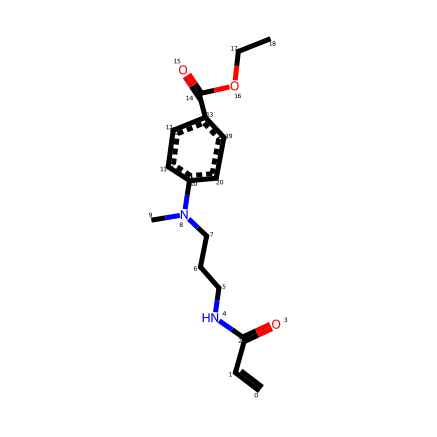 C=CC(=O)NCCCN(C)c1ccc(C(=O)OCC)cc1